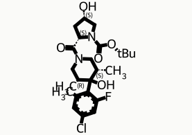 Cc1cc(Cl)cc(F)c1C1(O)[C@H](C)CN(C(=O)[C@@H]2C[C@H](O)CN2C(=O)OC(C)(C)C)C[C@@H]1C